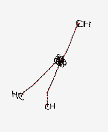 C#CC#CC#CC#CC#CC#CC#CC#CC#CC#CC#CC#CC#CC#CC#COC(=O)CC(CC(=O)OC#CC#CC#CC#CC#CC#CC#CC#CC#CC#CC#CC#CC#CC#CC#C)(OC(=O)CC)C(=O)OC#CC#CC#CC#CC#CC#CC#CC#CC#CC#CC#CC#CC#CC#CC#C